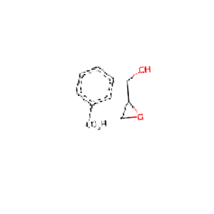 O=C(O)c1ccccc1.OCC1CO1